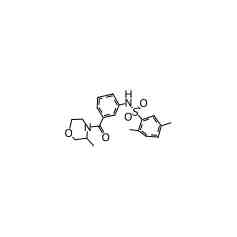 Cc1ccc(C)c(S(=O)(=O)Nc2cccc(C(=O)N3CCOCC3C)c2)c1